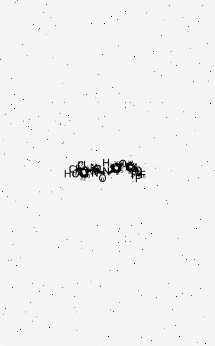 O=C(NCc1ccc(Oc2ccc(OC(F)(F)F)cc2)cc1)c1nc(C2=CC(Cl)(Cl)C(O)=CC2)no1